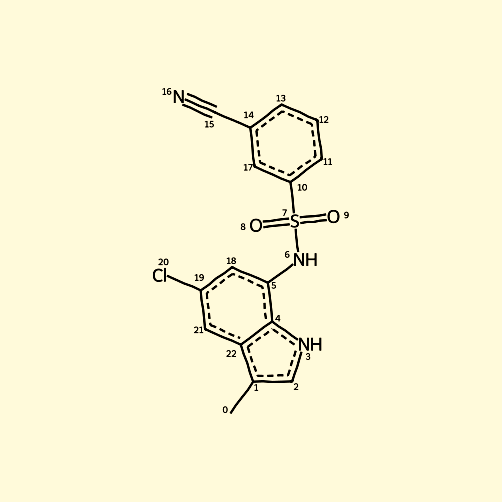 Cc1c[nH]c2c(NS(=O)(=O)c3cccc(C#N)c3)cc(Cl)cc12